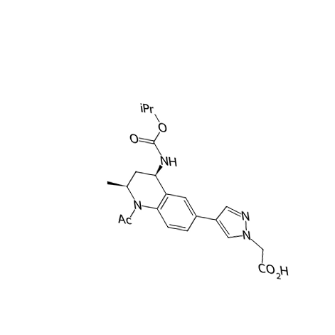 CC(=O)N1c2ccc(-c3cnn(CC(=O)O)c3)cc2[C@H](NC(=O)OC(C)C)C[C@@H]1C